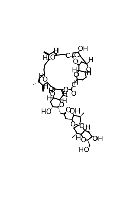 C=C1C[C@@H]2CC[C@]34C[C@@H](O)C(O3)[C@H]3CC(O4)[C@H]4O[C@H](CC[C@@H]4O3)CC(=O)O[C@@H]3[C@@H](C)[C@@H]4O[C@H](CC(=O)C[C@@H]5O[C@@]6(C[C@H](C)[C@@H]5O)C[C@H](C)[C@@H]5O[C@H](CO)[C@H](O)C[C@@H]5O6)[C@H](O)C[C@@H]4O[C@H]3C[C@H]3O[C@@H](CC[C@@H]1O2)C[C@@H](C)C3=C